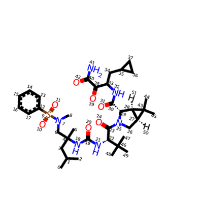 CC(C)CC(C)(CN(C)S(=O)(=O)c1ccccc1)NC(=O)N[C@H](C(=O)N1C[C@H]2[C@@H]([C@H]1C(=O)NC(CC1CC1)C(=O)C(N)=O)C2(C)C)C(C)(C)C